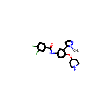 Cn1nccc1-c1cc(NC(=O)c2ccc(F)c(F)c2)ccc1OC1CCNCC1